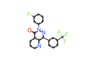 O=c1c2cccnc2c(-c2cccc(C(F)(F)F)c2)nn1-c1cccc(F)c1